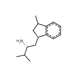 CC1CN(C[C@@H](N)C(C)C)c2ccccc21